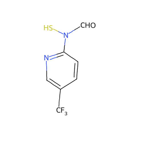 O=CN(S)c1ccc(C(F)(F)F)cn1